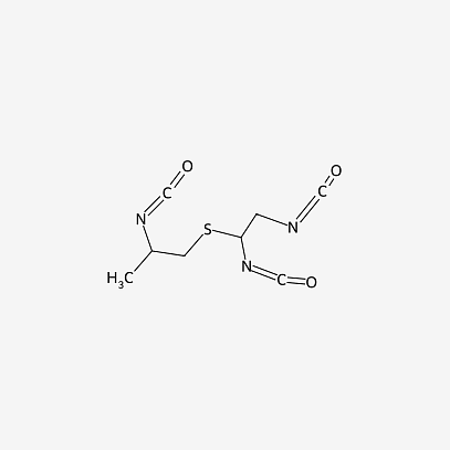 CC(CSC(CN=C=O)N=C=O)N=C=O